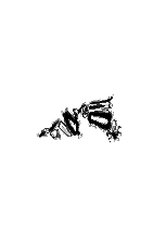 CCCN(CCSc1ccc(OCC(=O)OCC)c(C)c1)S(=O)(=O)c1cccc(OC(F)(F)F)c1